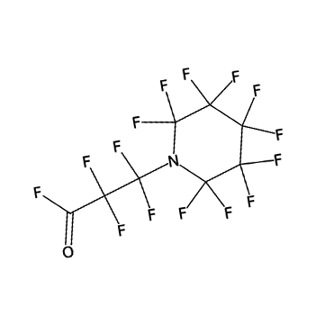 O=C(F)C(F)(F)C(F)(F)N1C(F)(F)C(F)(F)C(F)(F)C(F)(F)C1(F)F